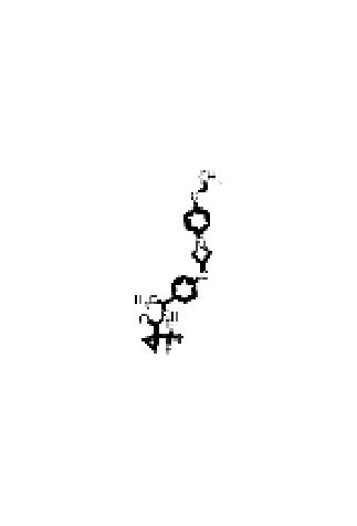 CCOc1ccc(N2CC(Oc3ccc(C(C)NC(=O)C4(C(F)(F)F)CC4)cc3)C2)cc1